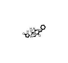 CC(C)CNC(=O)C(CC1CCCCC1)NC(N)=NC(=O)C[C@@H]1CCC(=O)N1